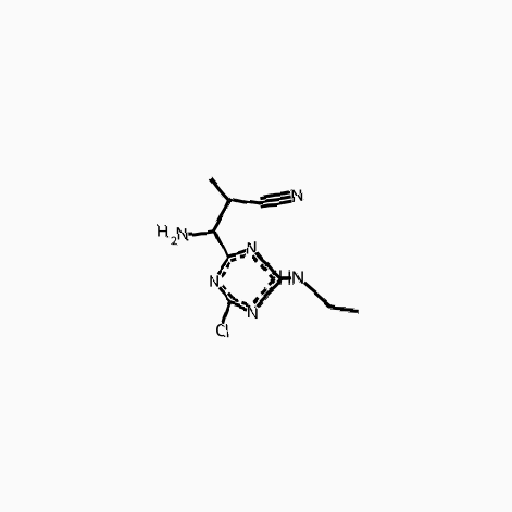 CCNc1nc(Cl)nc(C(N)C(C)C#N)n1